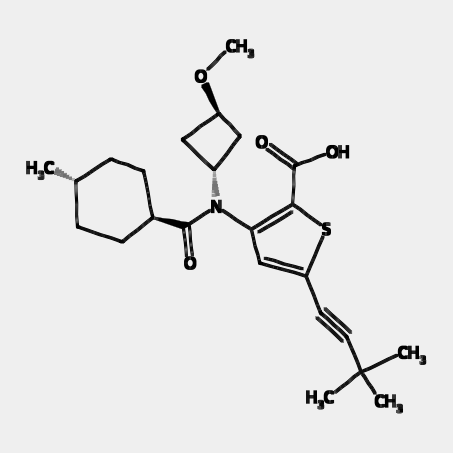 CO[C@H]1C[C@H](N(c2cc(C#CC(C)(C)C)sc2C(=O)O)C(=O)[C@H]2CC[C@H](C)CC2)C1